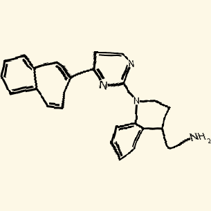 NCC1CCN(c2nccc(-c3ccc4ccccc4c3)n2)c2ccccc21